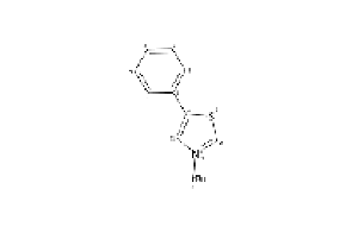 CC(C)(C)[n+]1csc(-c2ccccc2)c1